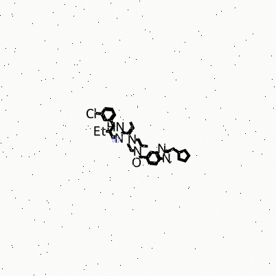 CC=C(C(=N)/N=C\C(CC)Cc1cccc(Cl)c1)N1CCN(C(=O)c2ccc3c(c2)nc(CC2CCCC2)n3C)C(C)C1